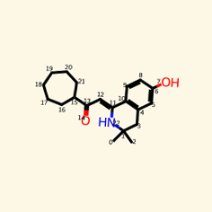 CC1(C)Cc2cc(O)ccc2C(=CC(=O)C2CCCCCC2)N1